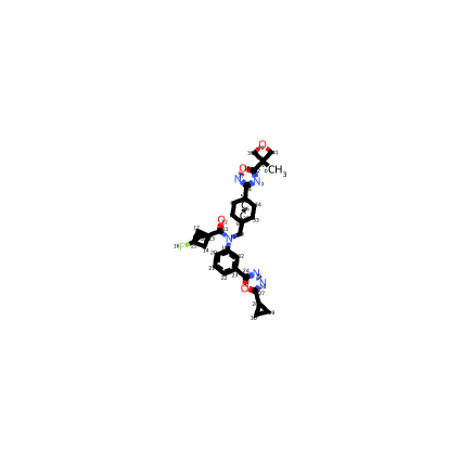 CC1(c2nc(C34CCC(CN(C(=O)C56CC(F)(C5)C6)c5cccc(-c6nnc(C7CC7)o6)c5)(CC3)CC4)no2)COC1